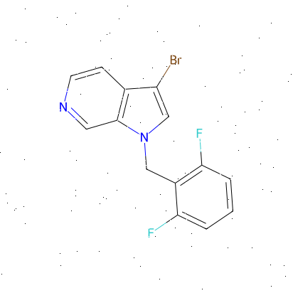 Fc1cccc(F)c1Cn1cc(Br)c2ccncc21